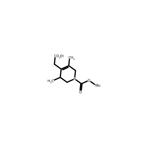 CCOC(=O)CC1=C(C)CN(C(=O)OC(C)(C)C)CC1C